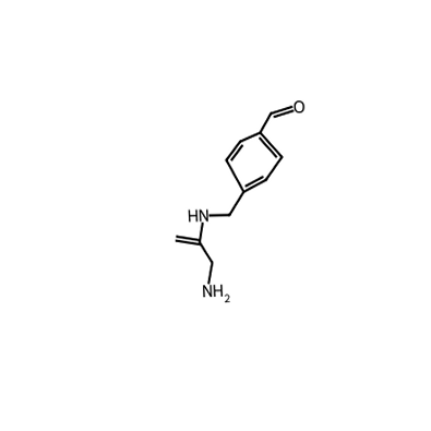 C=C(CN)NCc1ccc(C=O)cc1